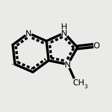 Cn1c(=O)[nH]c2nc[c]cc21